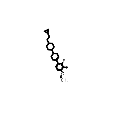 CCOc1ccc(C2=CCC(C3CCC(CCC4CC4)CC3)CC2)c(F)c1F